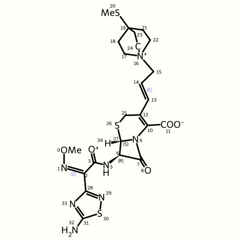 CO/N=C(\C(=O)N[C@@H]1C(=O)N2C(C(=O)[O-])=C(/C=C/C[N+]34CCC(SC)(CC3)CC4)CS[C@@H]12)c1nsc(N)n1